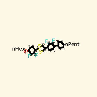 CCCCCCOc1ccc(C2SCC(c3ccc(-c4ccc(CCCCC)cc4)c(F)c3F)CS2)c(F)c1F